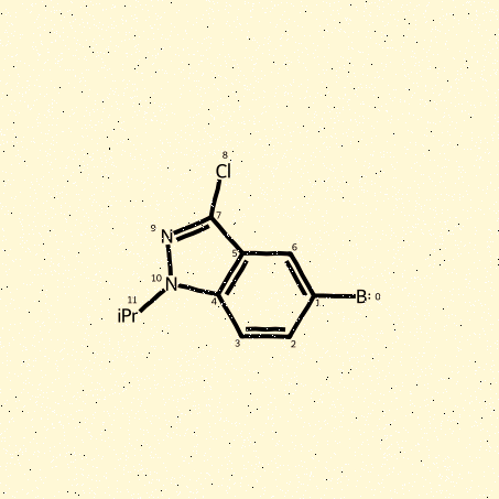 [B]c1ccc2c(c1)c(Cl)nn2C(C)C